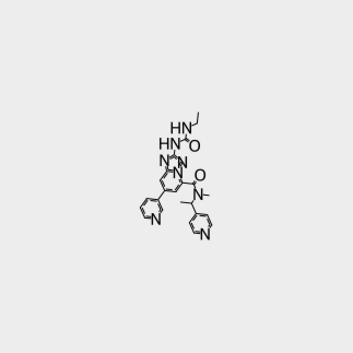 CCNC(=O)Nc1nc2cc(-c3cccnc3)cc(C(=O)N(C)C(C)c3ccncc3)n2n1